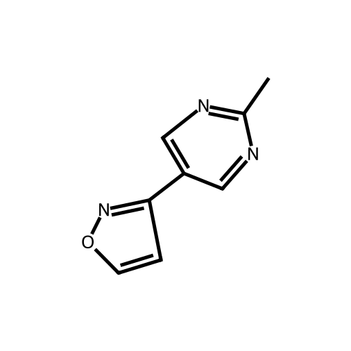 Cc1ncc(-c2ccon2)cn1